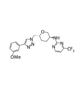 COc1cccc(-c2cn(C[C@H]3CC[C@H](Nc4nccc(C(F)(F)F)n4)CO3)nn2)c1